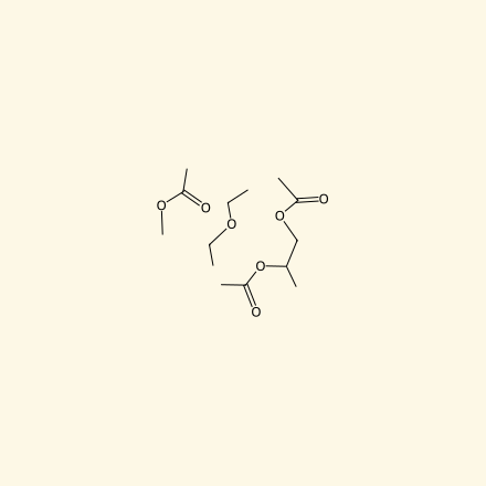 CC(=O)OCC(C)OC(C)=O.CCOCC.COC(C)=O